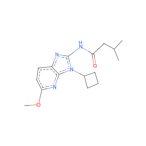 COc1ccc2nc(NC(=O)CC(C)C)n(C3CCC3)c2n1